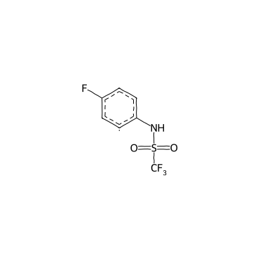 O=S(=O)(Nc1[c]cc(F)cc1)C(F)(F)F